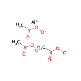 CC(=O)O[O-].CC(=O)O[O-].CC(=O)O[O-].[Al+3]